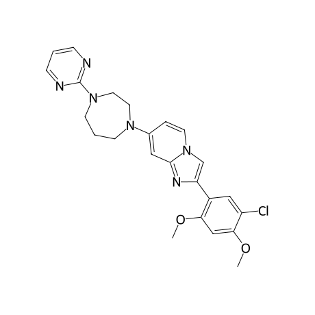 COc1cc(OC)c(-c2cn3ccc(N4CCCN(c5ncccn5)CC4)cc3n2)cc1Cl